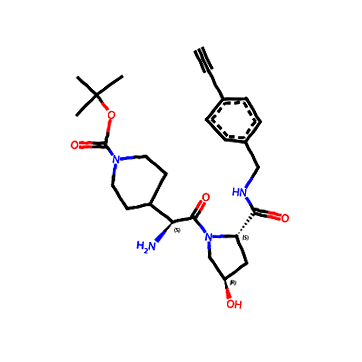 C#Cc1ccc(CNC(=O)[C@@H]2C[C@@H](O)CN2C(=O)[C@@H](N)C2CCN(C(=O)OC(C)(C)C)CC2)cc1